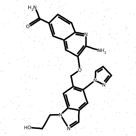 NC(=O)c1ccc2nc(N)c(OCc3cc4c(cnn4CCO)cc3-n3cccn3)cc2c1